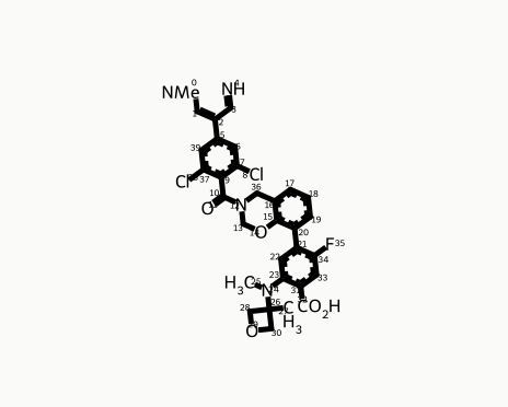 CN/C=C(\C=N)c1cc(Cl)c(C(=O)N2COc3c(cccc3-c3cc(N(C)C4(C)COC4)c(C(=O)O)cc3F)C2)c(Cl)c1